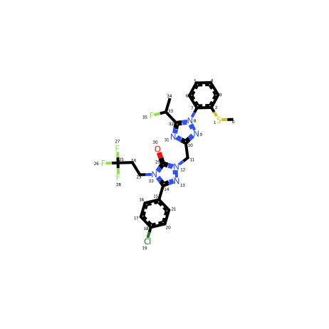 CSc1ccccc1-n1nc(Cn2nc(-c3ccc(Cl)cc3)n(CCC(F)(F)F)c2=O)nc1C(C)F